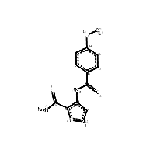 CNC(=O)c1n[nH]cc1NC(=O)c1ccc(OC(F)(F)F)cc1